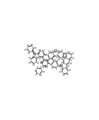 c1ccc(-c2nc(-c3ccc(-n4c5ccccc5c5cc6ccccc6cc54)cc3-c3cccc4oc5ccccc5c34)nc(-c3cccc4c3c3ccccc3n4-c3ccccc3)n2)cc1